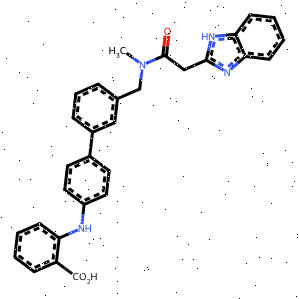 CN(Cc1cccc(-c2ccc(Nc3ccccc3C(=O)O)cc2)c1)C(=O)Cc1nc2ccccc2[nH]1